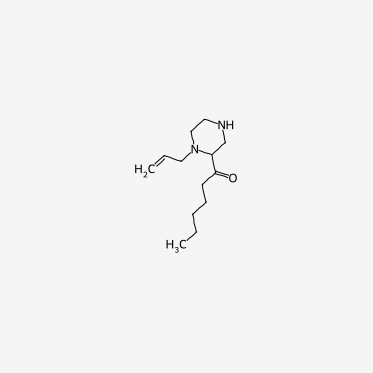 C=CCN1CCNCC1C(=O)CCCCC